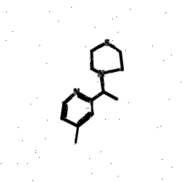 Cc1ccnc(C(C)N2CCSCC2)c1